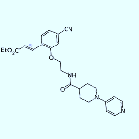 CCOC(=O)/C=C/c1ccc(C#N)cc1OCCNC(=O)C1CCN(c2ccncc2)CC1